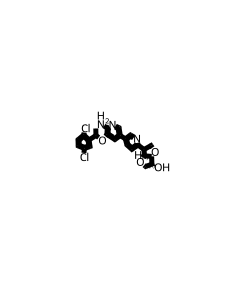 CC(Oc1cc(-c2ccc(C3COC4[C@@H]3OC[C@H]4O)nc2)cnc1N)c1cc(Cl)ccc1Cl